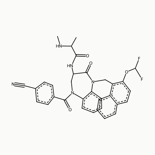 CNC(C)C(=O)NC1CN(C(=O)c2ccc(C#N)cc2)c2ccccc2N(Cc2c(OC(F)F)ccc3ccccc23)C1=O